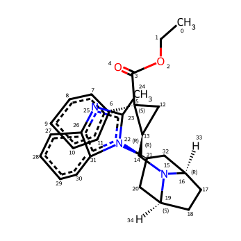 CCOC(=O)[C@@]1(c2ccccc2)C[C@H]1CN1[C@@H]2CC[C@H]1C[C@@H](n1c(C)nc3ccccc31)C2